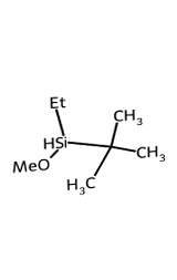 CC[SiH](OC)C(C)(C)C